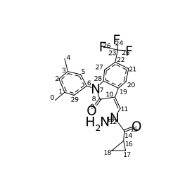 Cc1cc(C)cc(N2C(=O)/C(=C\N(N)C(=O)C3CC3)c3ccc(C(F)(F)F)cc32)c1